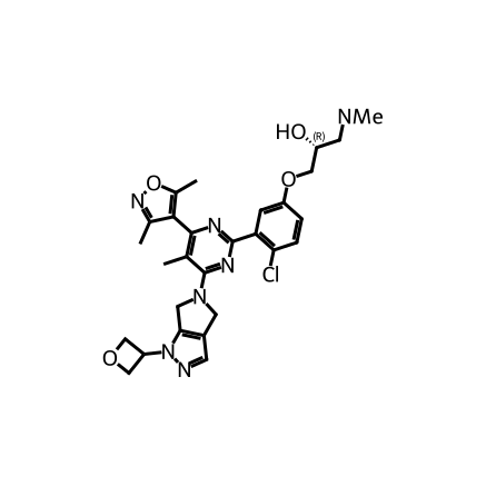 CNC[C@@H](O)COc1ccc(Cl)c(-c2nc(-c3c(C)noc3C)c(C)c(N3Cc4cnn(C5COC5)c4C3)n2)c1